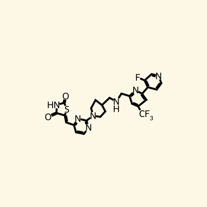 O=C1NC(=O)C(=Cc2ccnc(N3CCC(CNCc4cc(C(F)(F)F)cc(-c5ccncc5F)n4)CC3)n2)S1